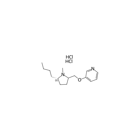 CCCC[C@H]1CCC(COc2cccnc2)N1C.Cl.Cl